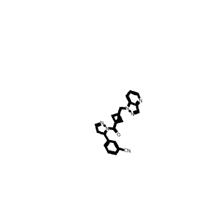 N#Cc1cccc(C2CC=NN2C(=O)C23CC(Cn4ncc5ncccc54)(C2)C3)c1